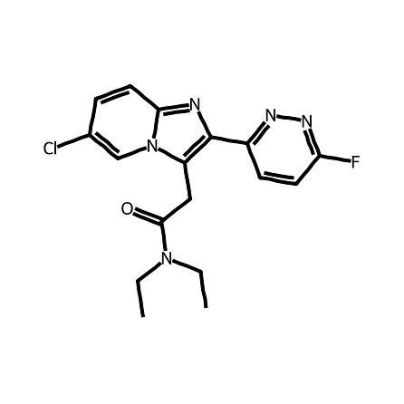 CCN(CC)C(=O)Cc1c(-c2ccc(F)nn2)nc2ccc(Cl)cn12